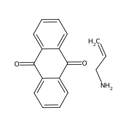 C=CCN.O=C1c2ccccc2C(=O)c2ccccc21